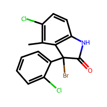 Cc1c(Cl)ccc2c1C(Br)(c1ccccc1Cl)C(=O)N2